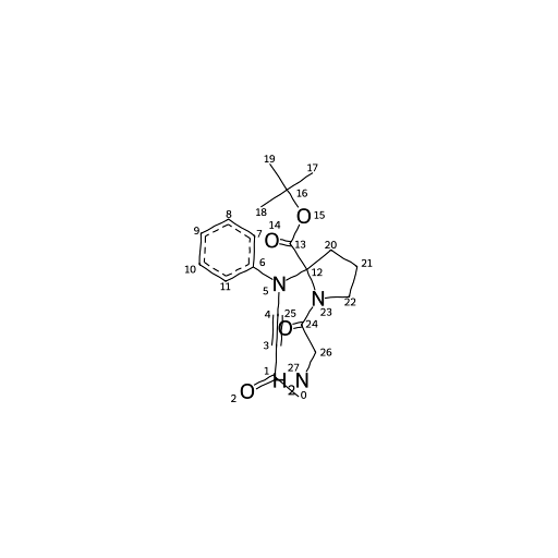 CC(=O)C#CN(c1ccccc1)C1(C(=O)OC(C)(C)C)CCCN1C(=O)CN